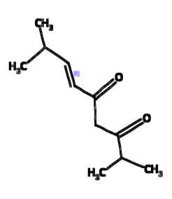 CC(C)/C=C/C(=O)CC(=O)C(C)C